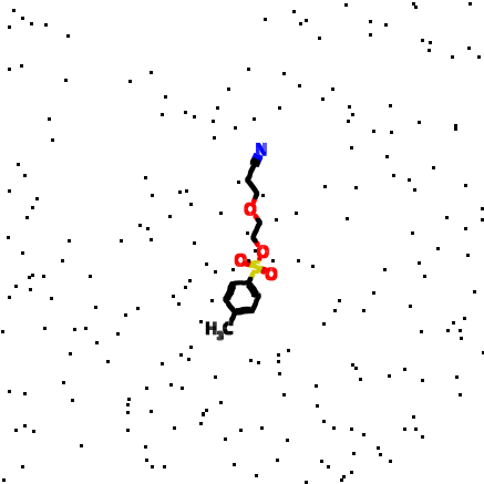 Cc1ccc(S(=O)(=O)OCCOCCC#N)cc1